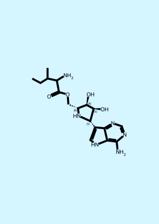 CCC(C)C(N)C(=O)OC[C@H]1N[C@@H](c2c[nH]c3c(N)ncnc23)[C@H](O)[C@@H]1O